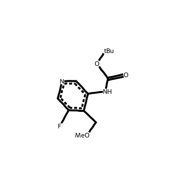 COCc1c(F)cncc1NC(=O)OC(C)(C)C